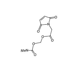 CNC(=O)OCOC(=O)CN1C(=O)C=CC1=O